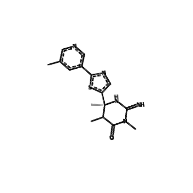 Cc1cncc(-c2ncc([C@@]3(C)NC(=N)N(C)C(=O)C3C)s2)c1